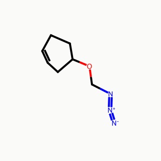 [N-]=[N+]=NCOC1CC=CCC1